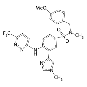 COc1ccc(CN(C)S(=O)(=O)c2ccc(Nc3ccc(C(F)(F)F)nn3)c(-c3cn(C)cn3)c2)cc1